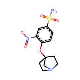 NS(=O)(=O)c1ccc(OC23CCN(CC2)C3)c([N+](=O)[O-])c1